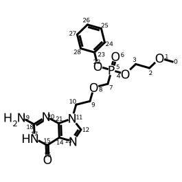 COCCOP(=O)(COCCn1cnc2c(=O)[nH]c(N)nc21)Oc1ccccc1